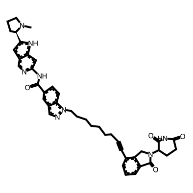 CN1CCC[C@@H]1c1cc2cnc(NC(=O)c3ccc4c(cnn4CCCCCCCC#Cc4cccc5c4CN(C4CCC(=O)NC4=O)C5=O)c3)cc2[nH]1